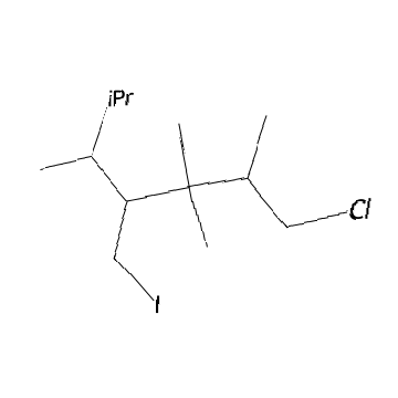 CC(C)C(C)C(CI)C(C)(C)C(C)CCl